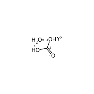 O.O=C(O)O.[Y]